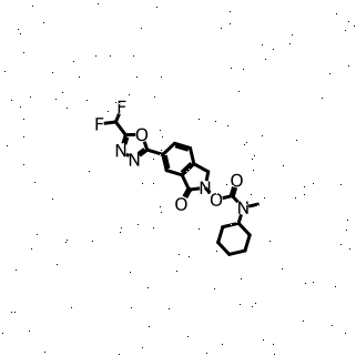 CN(C(=O)ON1Cc2ccc(-c3nnc(C(F)F)o3)cc2C1=O)C1CCCCC1